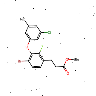 CC(C)(C)OC(=O)CCc1ccc(Br)c(Oc2cc(Cl)cc(C#N)c2)c1F